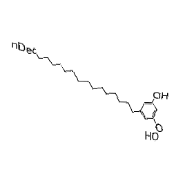 CCCCCCCCCCCCCCCCCCCCCCCCCc1cc(O)cc(OO)c1